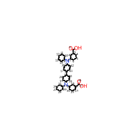 O=C(O)c1cccc(N(c2ccccc2)c2ccc(-c3ccc(N(c4ccccc4)c4cccc(C(=O)O)c4)cc3)cc2)c1